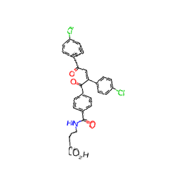 O=C(O)CCNC(=O)c1ccc(C(=O)/C(=C\C(=O)c2ccc(Cl)cc2)c2ccc(Cl)cc2)cc1